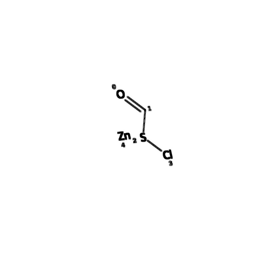 O=CSCl.[Zn]